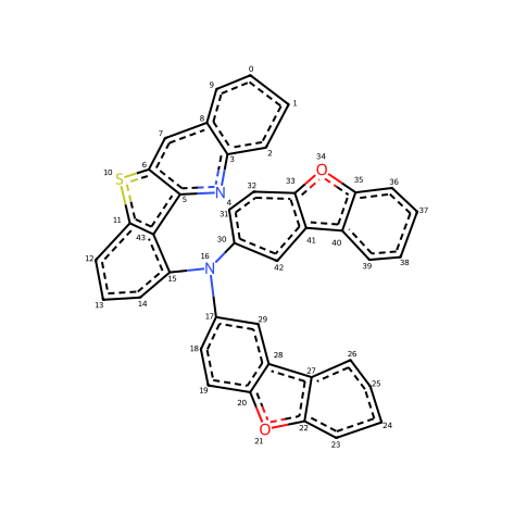 c1ccc2nc3c(cc2c1)sc1cccc(N(c2ccc4oc5ccccc5c4c2)c2ccc4oc5ccccc5c4c2)c13